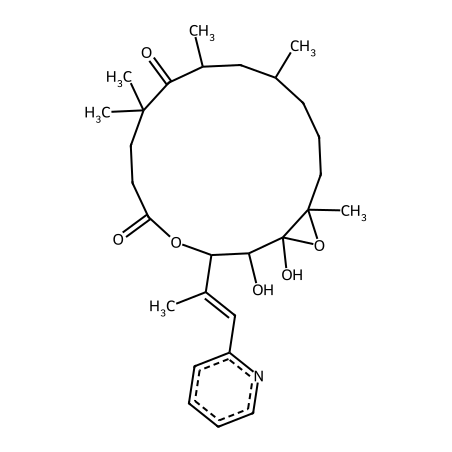 CC(=Cc1ccccn1)C1OC(=O)CCC(C)(C)C(=O)C(C)CC(C)CCCC2(C)OC2(O)C1O